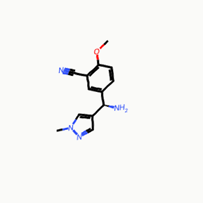 COc1ccc([C@@H](N)c2cnn(C)c2)cc1C#N